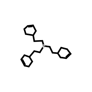 C1=CCC(CCN(CCC2CC=CCC2)CCC2CC=CCC2)CC1